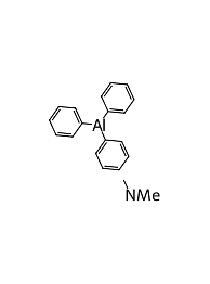 CNC.c1cc[c]([Al]([c]2ccccc2)[c]2ccccc2)cc1